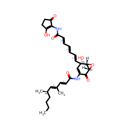 CCCC[C@@H](C)/C=C(C)/C=C/C(=O)NC1=C[C@@](O)(/C=C/C=C/C=C/C(=O)NC2=C(O)CCC2=O)[C@@H]2O[C@@H]2C1=O